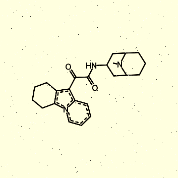 CN1C2CCCC1CC(NC(=O)C(=O)c1c3c(n4ccccc14)CCCC3)C2